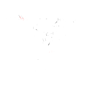 CC(=O)O.CC1=C2C[C@@H](COC3=CCCC3)[C@H]3[C@@H]4CC[C@H](O)[C@@]4(C)CC[C@@H]3[C@@]2(C=O)CCC1